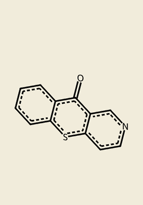 O=c1c2ccccc2sc2ccncc12